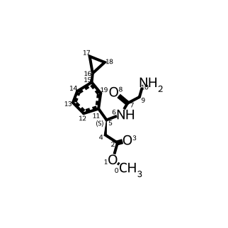 COC(=O)C[C@H](NC(=O)CN)c1cccc(C2CC2)c1